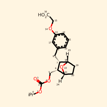 CC(C)OC(=O)OC[C@@H]1[C@H](Cc2cccc(OCC(=O)O)c2)[C@@H]2CC[C@H]1O2